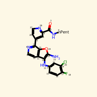 CCCCCNC(=O)c1cc(-c2nccc3c(Nc4ccc(F)c(Cl)c4)c(N)oc23)ccn1